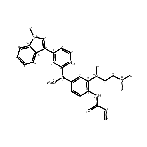 C=CC(=O)Nc1ccc(N(OC)c2nccc(-c3cn(C)c4ccccc34)n2)cc1N(C)CCN(C)C